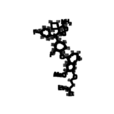 CCN(CC)CCOc1cc2nccc(Oc3ccc(N(C(=O)C4(C(N)=O)CCC4)c4ccc(F)cc4)cc3F)c2cc1OC